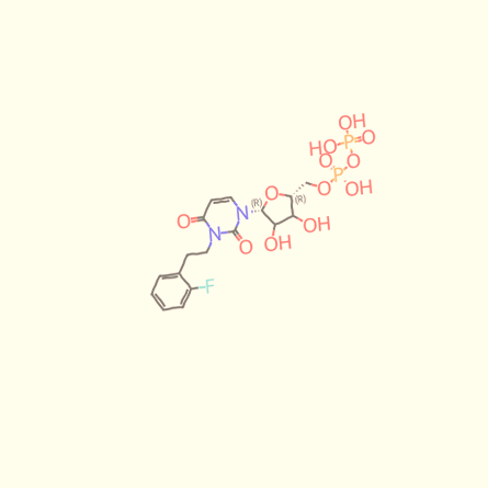 O=c1ccn([C@@H]2O[C@H](COP(=O)(O)OP(=O)(O)O)C(O)C2O)c(=O)n1CCc1ccccc1F